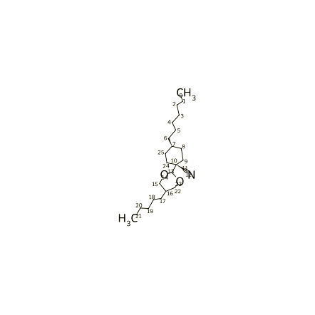 CCCCCCC[C@H]1CC[C@](C#N)(C2OCC(CCCCC)CO2)CC1